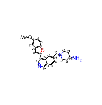 COc1ccc2oc(-c3cncc4ccc(CN5CCC(N)CC5)cc34)cc2c1